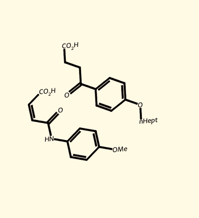 CCCCCCCOc1ccc(C(=O)CCC(=O)O)cc1.COc1ccc(NC(=O)/C=C\C(=O)O)cc1